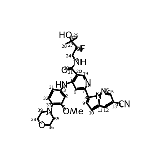 COc1cc(Nc2cc(-c3ccc4cc(C#N)cnn34)ncc2C(=O)NC[C@@H](F)C(C)(C)O)ccc1N1CCOCC1